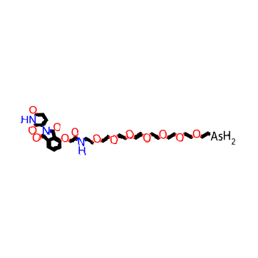 O=C(COc1cccc2c1C(=O)N(C1CCC(=O)NC1=O)C2=O)NCCOCCOCCOCCOCCOCCOCCOCC[AsH2]